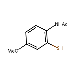 COc1ccc(NC(C)=O)c(S)c1